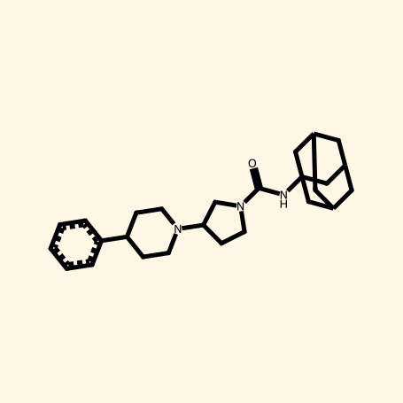 O=C(NC12CC3CC(CC(C3)C1)C2)N1CCC(N2CCC(c3ccccc3)CC2)C1